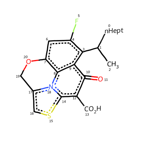 CCCCCCCC(C)c1c(F)cc2c3c1c(=O)c(C(=O)O)c1scc(n13)CO2